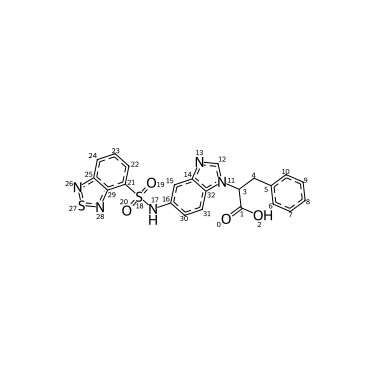 O=C(O)C(Cc1ccccc1)n1cnc2cc(NS(=O)(=O)c3cccc4nsnc34)ccc21